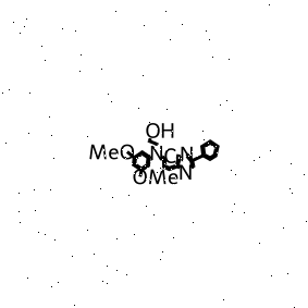 COc1cc(OC)cc(N(CCO)c2ccc3ncc(-c4ccccc4)nc3c2)c1